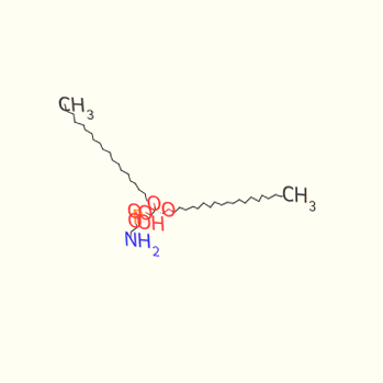 CCCCCCCCCCCCCCCCCCCCOC[C@H](COP(=O)(O)OCCN)OCCCCCCCCCCCCCCCCCCCC